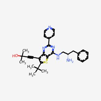 CC(C)(O)C#Cc1c(C(C)(C)C)sc2c(NC[C@@H](N)Cc3ccccc3)nc(-c3ccncc3)nc12